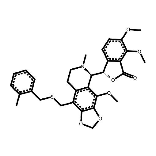 COc1ccc2c(c1OC)C(=O)O[C@@H]2[C@H]1c2c(c(CSCc3ccccc3C)c3c(c2OC)OCO3)CCN1C